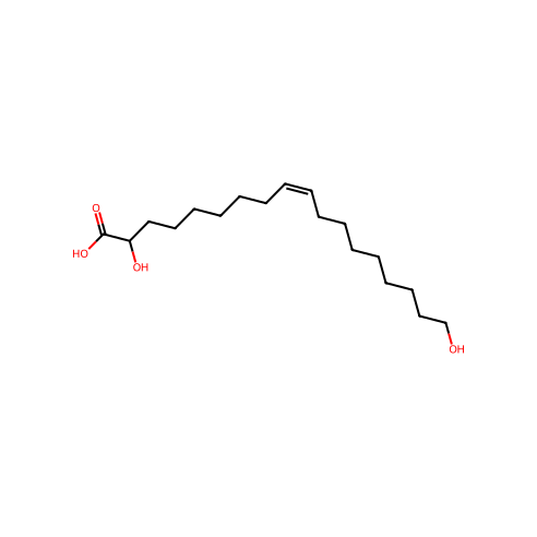 O=C(O)C(O)CCCCCC/C=C\CCCCCCCCO